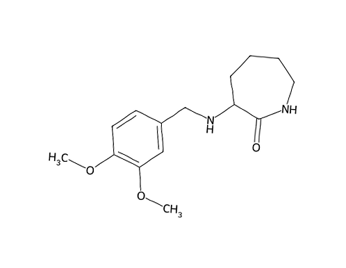 COc1ccc(CNC2CCCCNC2=O)cc1OC